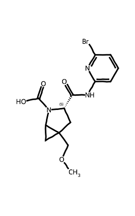 COCC12CC1N(C(=O)O)[C@H](C(=O)Nc1cccc(Br)n1)C2